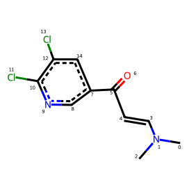 CN(C)/C=C/C(=O)c1cnc(Cl)c(Cl)c1